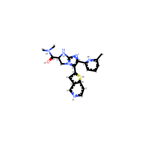 Cc1cccc(-c2nc3n(c2-c2cc4cnccc4s2)CC(C(=O)N(C)C)N3)n1